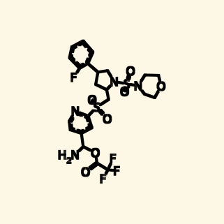 NC(OC(=O)C(F)(F)F)c1ccnc(S(=O)(=O)CC2CC(c3ccccc3F)CN2S(=O)(=O)N2CCOCC2)c1